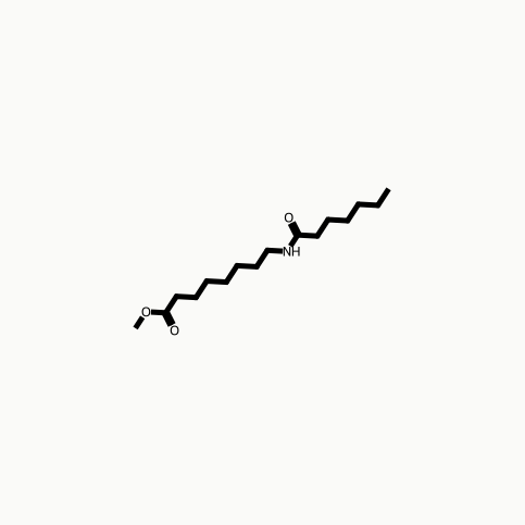 CCCCCCC(=O)NCCCCCCCC(=O)OC